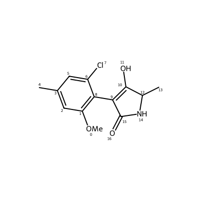 COc1cc(C)cc(Cl)c1C1=C(O)C(C)NC1=O